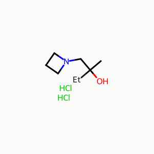 CCC(C)(O)CN1CCC1.Cl.Cl